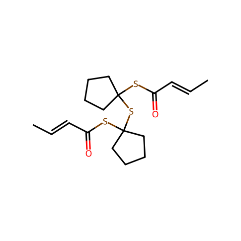 CC=CC(=O)SC1(SC2(SC(=O)C=CC)CCCC2)CCCC1